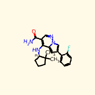 CC1(C)CCC[C@H]1Nc1c(C(N)=O)cnn2cc(-c3ccccc3F)cc12